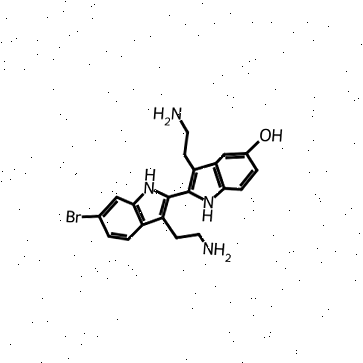 NCCc1c(-c2[nH]c3ccc(O)cc3c2CCN)[nH]c2cc(Br)ccc12